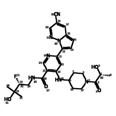 C[C@@H](O)C(=O)N1CCC(Nc2cc(-c3ccc4cc(C#N)cnn34)ncc2C(=O)NC[C@@H](F)C(C)(C)O)CC1